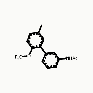 CC(=O)Nc1cccc(-c2cc(C)ccc2OC(F)(F)F)c1